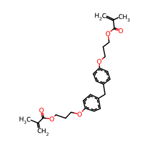 C=C(C)C(=O)OCCCOc1ccc(Cc2ccc(OCCCOC(=O)C(=C)C)cc2)cc1